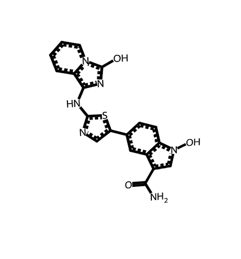 NC(=O)c1cn(O)c2ccc(-c3cnc(Nc4nc(O)n5ccccc45)s3)cc12